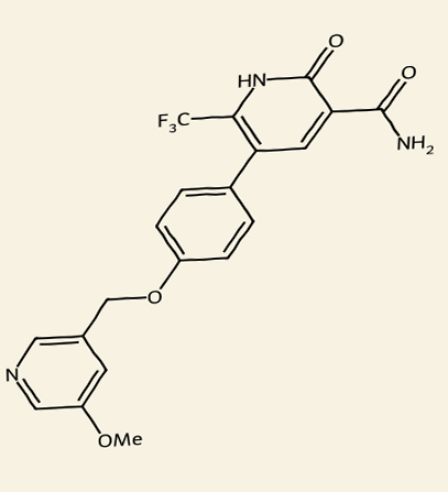 COc1cncc(COc2ccc(-c3cc(C(N)=O)c(=O)[nH]c3C(F)(F)F)cc2)c1